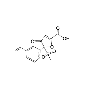 C=Cc1cccc(C2(S(C)(=O)=O)OC(C(=O)O)=CC2=O)c1